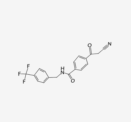 N#CCC(=O)c1ccc(C(=O)NCc2ccc(C(F)(F)F)cc2)cc1